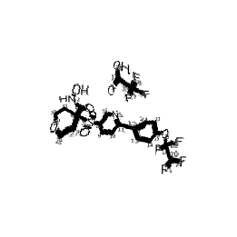 O=C(NO)C1(S(=O)(=O)c2ccc(-c3ccc(OC(F)(F)C(F)F)cc3)nc2)CCOCC1.O=C(O)C(F)(F)F